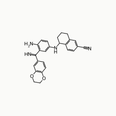 N#Cc1ccc2c(c1)CCCC2Nc1ccc(N)c(C(=N)c2ccc3c(c2)OCCO3)c1